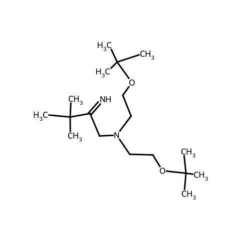 CC(C)(C)OCCN(CCOC(C)(C)C)CC(=N)C(C)(C)C